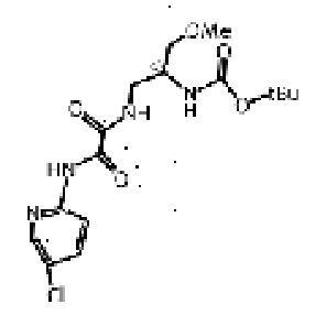 COC[C@H](CNC(=O)C(=O)Nc1ccc(Cl)cn1)NC(=O)OC(C)(C)C